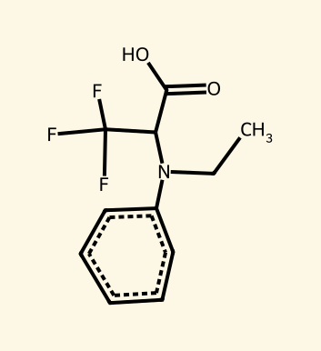 CCN(c1ccccc1)C(C(=O)O)C(F)(F)F